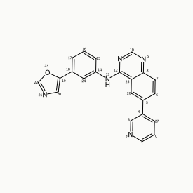 c1cncc(-c2ccc3ncnc(Nc4cccc(-c5cnco5)c4)c3c2)c1